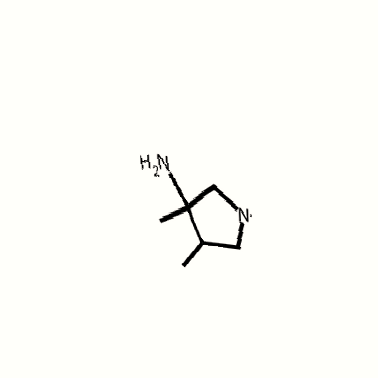 CC1C[N]CC1(C)N